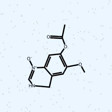 COc1cc2c(cc1OC(C)=O)[N+]([O-])=CNC2